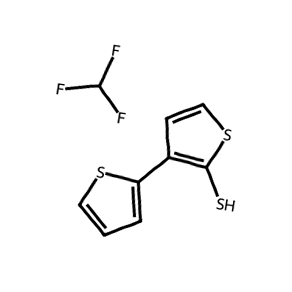 FC(F)F.Sc1sccc1-c1cccs1